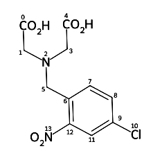 O=C(O)CN(CC(=O)O)Cc1ccc(Cl)cc1[N+](=O)[O-]